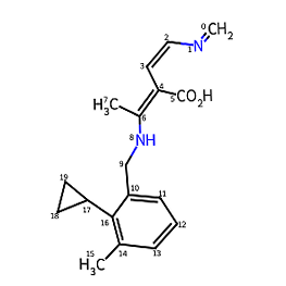 C=N/C=C\C(C(=O)O)=C(/C)NCc1cccc(C)c1C1CC1